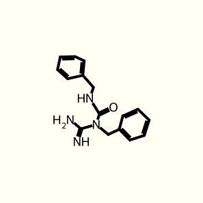 N=C(N)N(Cc1ccccc1)C(=O)NCc1ccccc1